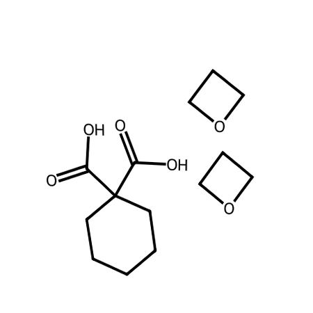 C1COC1.C1COC1.O=C(O)C1(C(=O)O)CCCCC1